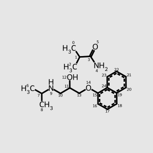 CC(C)C(N)=O.CC(C)NCC(O)COc1cccc2ccccc12